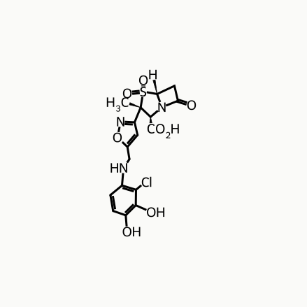 C[C@]1(c2cc(CNc3ccc(O)c(O)c3Cl)on2)[C@H](C(=O)O)N2C(=O)C[C@H]2S1(=O)=O